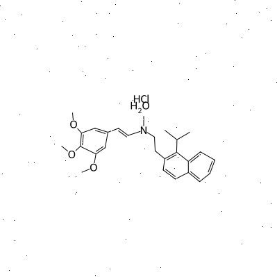 COc1cc(C=CN(C)CCc2ccc3ccccc3c2C(C)C)cc(OC)c1OC.Cl.O